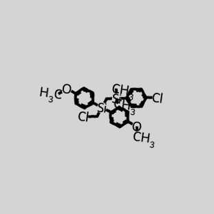 COc1ccc([Si](CCl)(C[Si](C)(C)c2ccc(Cl)cc2)c2ccc(OC)cc2)cc1